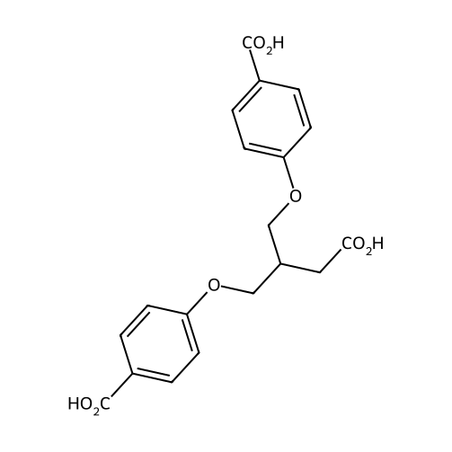 O=C(O)CC(COc1ccc(C(=O)O)cc1)COc1ccc(C(=O)O)cc1